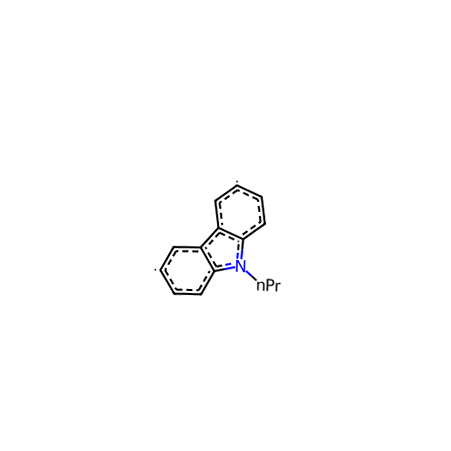 CCCn1c2cc[c]cc2c2c[c]ccc21